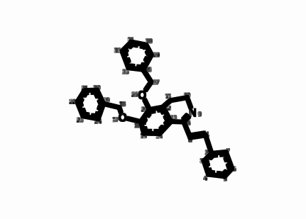 C(=Cc1ccccc1)C1=NCCc2c1ccc(OCc1ccccc1)c2OCc1ccccc1